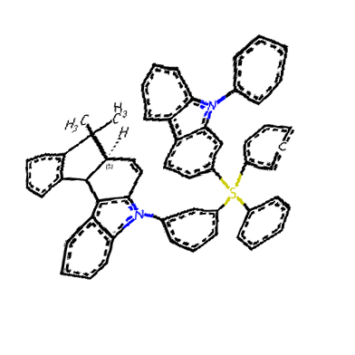 CC1(C)c2ccccc2C2c3c(n(-c4cccc(S(c5ccccc5)(c5ccccc5)c5ccc6c7ccccc7n(-c7ccccc7)c6c5)c4)c4ccccc34)C=C[C@@H]21